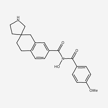 COc1ccc(C(=O)N(O)C(=O)c2ccc3c(c2)CC2(CCNC2)CC3)cc1